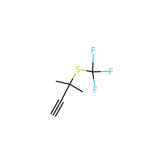 C#CC(C)(C)SC(F)(F)F